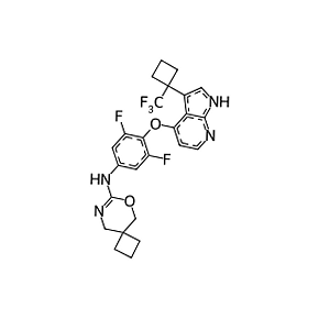 Fc1cc(NC2=NCC3(CCC3)CO2)cc(F)c1Oc1ccnc2[nH]cc(C3(C(F)(F)F)CCC3)c12